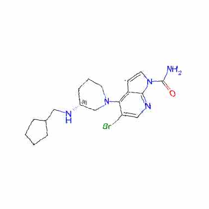 NC(=O)n1c[c]c2c(N3CCC[C@@H](NCC4CCCC4)C3)c(Br)cnc21